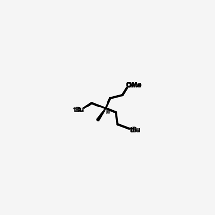 COCC[C@](C)(CCC(C)(C)C)CC(C)(C)C